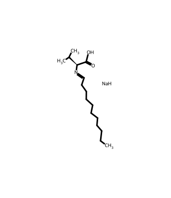 CCCCCCCCCCC=N[C@H](C(=O)O)C(C)C.[NaH]